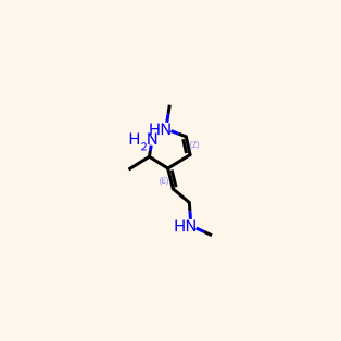 CN/C=C\C(=C/CNC)C(C)N